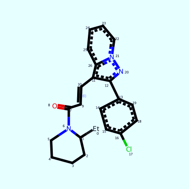 CCC1CCCCN1C(=O)/C=C/c1c(-c2ccc(Cl)cc2)nn2ccccc12